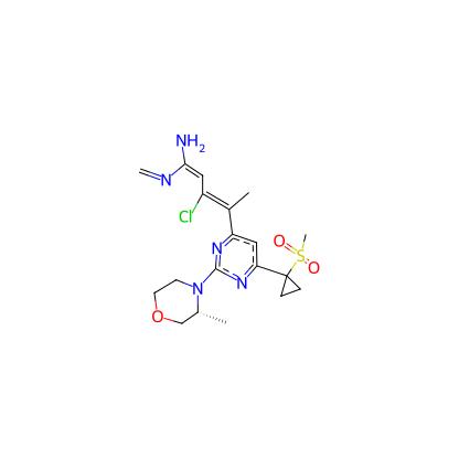 C=N/C(N)=C\C(Cl)=C(/C)c1cc(C2(S(C)(=O)=O)CC2)nc(N2CCOC[C@H]2C)n1